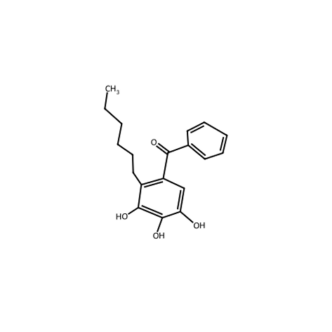 CCCCCCc1c(C(=O)c2ccccc2)cc(O)c(O)c1O